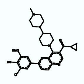 COc1cc(-c2ccc3ncc(C(=O)C4CC4)c(N4CCC(N5CCN(C)CC5)CC4)c3c2)cc(Cl)c1O